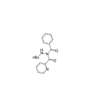 CCCCNN(C(=O)c1ccccc1)C(=O)c1ccccn1